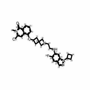 Cn1c(Cl)cc2c(OC3CC4(C3)CN(CCNc3cc5c(cnn5C5CCC5)cc3F)C4)cccc2c1=O